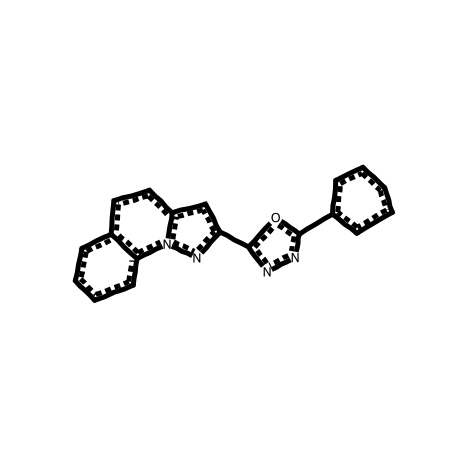 c1ccc(-c2nnc(-c3cc4ccc5ccccc5n4n3)o2)cc1